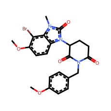 COc1ccc(CN2C(=O)CCC(n3c(=O)n(C)c4c(Br)c(OC)ccc43)C2=O)cc1